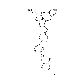 CCn1cncc1Cc1c(CN2CCC(c3cccc(OCc4ccc(C#N)cc4F)n3)CC2)nc2sc(C(=O)O)cn12